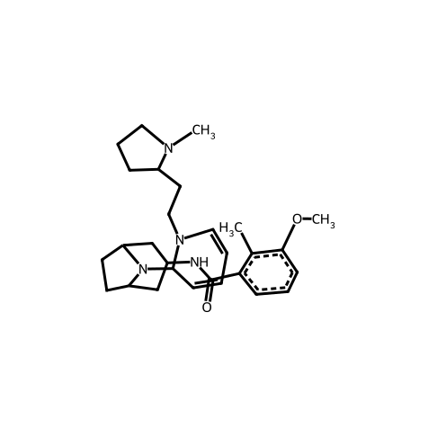 COc1cccc(C(=O)NC2CC3CCC(C2)N3C2C=CC=CN2CCC2CCCN2C)c1C